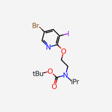 CC(C)N(CCOc1ncc(Br)cc1I)C(=O)OC(C)(C)C